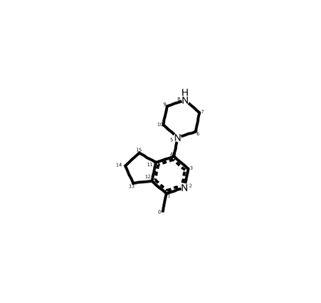 Cc1ncc(N2CCNCC2)c2c1CCC2